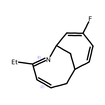 CCC1=N\C2C=C(F)C=CC(C/C=C\1)C2